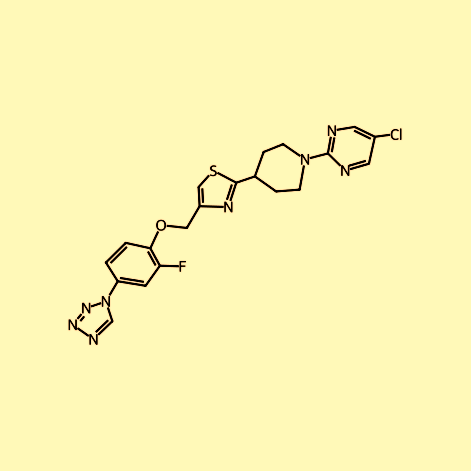 Fc1cc(-n2cnnn2)ccc1OCc1csc(C2CCN(c3ncc(Cl)cn3)CC2)n1